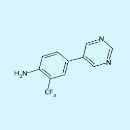 Nc1ccc(-c2cncnc2)cc1C(F)(F)F